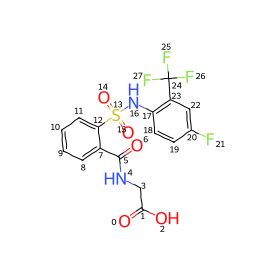 O=C(O)CNC(=O)c1ccccc1S(=O)(=O)Nc1ccc(F)cc1C(F)(F)F